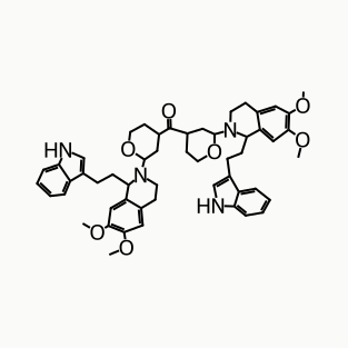 COc1cc2c(cc1OC)C(CCc1c[nH]c3ccccc13)N(C1CC(C(=O)C3CCOC(N4CCc5cc(OC)c(OC)cc5C4CCc4c[nH]c5ccccc45)C3)CCO1)CC2